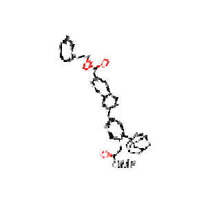 COC(=O)Cc1ccc(-c2ccc3cc(C(=O)OCc4ccccc4)ccc3c2)cc1C12CC3CC(CC(C3)C1)C2